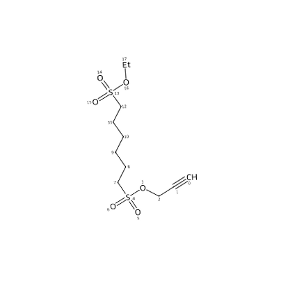 C#CCOS(=O)(=O)CCCCCCS(=O)(=O)OCC